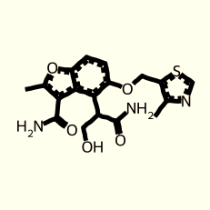 Cc1ncsc1COc1ccc2oc(C)c(C(N)=O)c2c1C(CO)C(N)=O